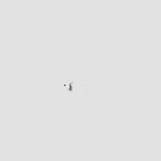 [Ni].[O]=[Fe][OH]